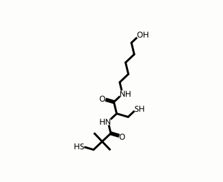 CC(C)(CS)C(=O)NC(CS)C(=O)NCCCCCO